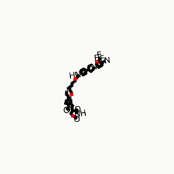 N#Cc1ccc(N2CCC(c3ccc(NCCCCCCN4CCN(c5ccc6c(c5)CN(C5CCC(=O)NC5=O)C6=O)CC4)cc3)CC2)cc1C(F)(F)F